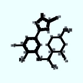 CC(Nc1cc(-c2n[nH]c(=O)o2)cc(F)c1C(F)(F)F)[C@H]1CCN(C(=O)O)C[C@H]1F